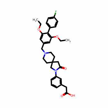 CCOc1cc(CN2CCC3(CC2)CC(=O)N(c2cccc(CC(=O)O)c2)C3)cc(OCC)c1-c1ccc(F)cc1